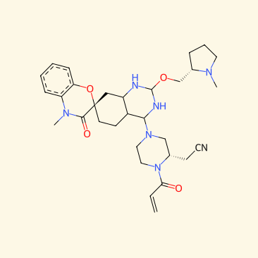 C=CC(=O)N1CCN(C2NC(OC[C@@H]3CCCN3C)NC3C[C@]4(CCC32)Oc2ccccc2N(C)C4=O)C[C@@H]1CC#N